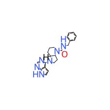 O=C(NCc1ccccc1)N1CCC[C@@H]2C1CCN2c1ncnc2[nH]ccc12